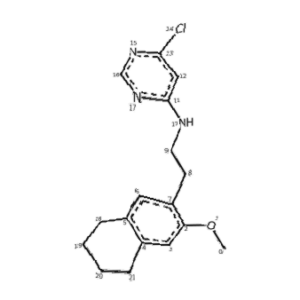 COc1cc2c(cc1CCNc1cc(Cl)ncn1)CCCC2